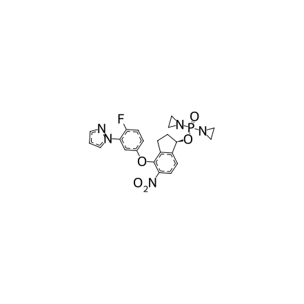 O=[N+]([O-])c1ccc2c(c1Oc1ccc(F)c(-n3cccn3)c1)CC[C@H]2OP(=O)(N1CC1)N1CC1